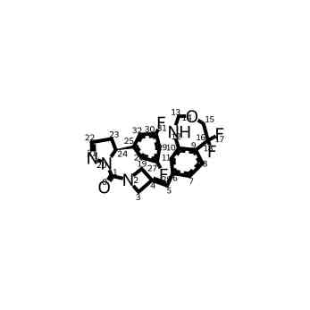 O=C(N1CC(=Cc2ccc3c(c2)NCOCC3(F)F)C1)N1N=CC[C@H]1c1cc(F)cc(F)c1